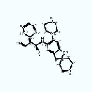 N=C/C(C(=O)Nc1cc2c(cc1N1CCOCC1)OC1(CCOCC1)C2)=C1/N=CC=CN1